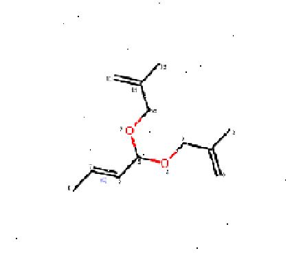 C=C(C)COC(/C=C/C)OCC(=C)C